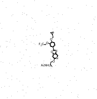 CC(=O)N[C@@H](C)COc1cc2oc(-c3ccc(OCC4CC4)c(OCC(F)(F)F)c3)nc2cn1